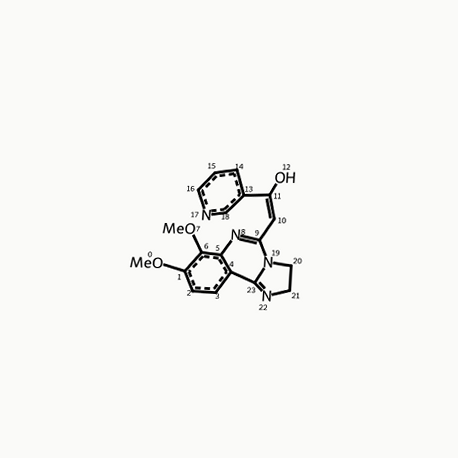 COc1ccc2c(c1OC)N=C(/C=C(/O)c1cccnc1)N1CCN=C21